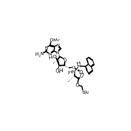 COc1nc(N)nc2c1ncn2[C@@H]1O[C@H](COP(=O)(Nc2cccc3ccccc23)N[C@@H](C)C(=O)OCC(C)(C)C)[C@@H](O)[C@@]1(C)O